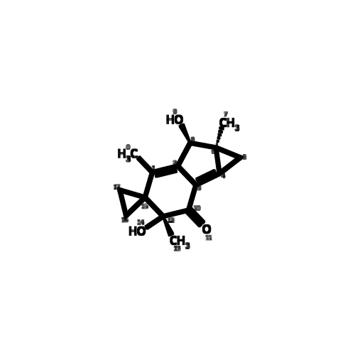 CC1=C2C(=C3C[C@]3(C)[C@@H]2O)C(=O)[C@](C)(O)C12CC2